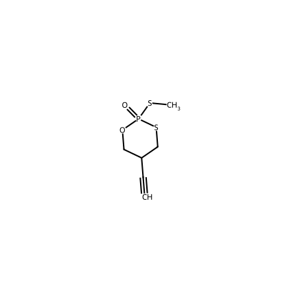 C#CC1COP(=O)(SC)SC1